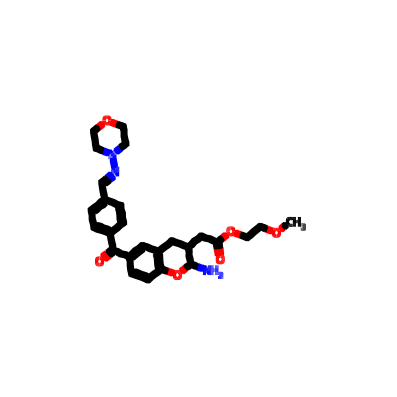 COCCOC(=O)CC1Cc2cc(C(=O)c3ccc(C=NN4CCOCC4)cc3)ccc2OC1N